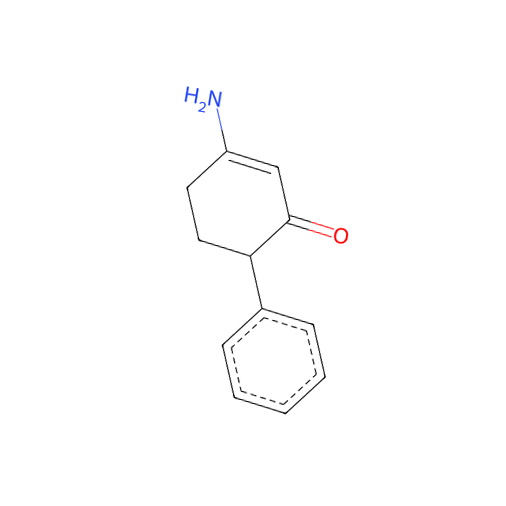 NC1=CC(=O)C(c2ccccc2)CC1